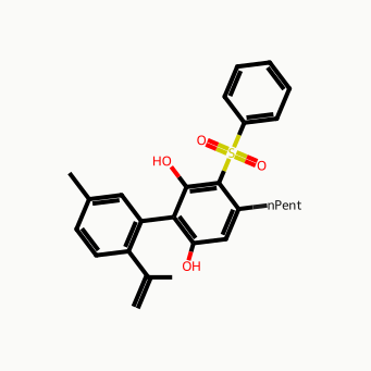 C=C(C)c1ccc(C)cc1-c1c(O)cc(CCCCC)c(S(=O)(=O)c2ccccc2)c1O